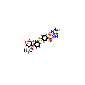 COC1(c2cccc(Sc3ccc(S(=O)(=O)Nc4nccs4)cc3)c2)CCOCC1